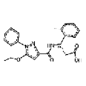 CCOc1cc(C(=O)N[C@@H](CC(=O)O)c2ccccc2C)nn1-c1ccccc1